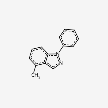 Cc1cccc2c1cnn2-c1ccccc1